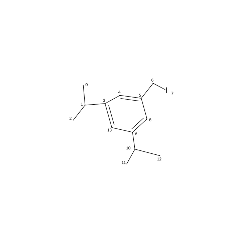 CC(C)c1cc(CI)cc(C(C)C)c1